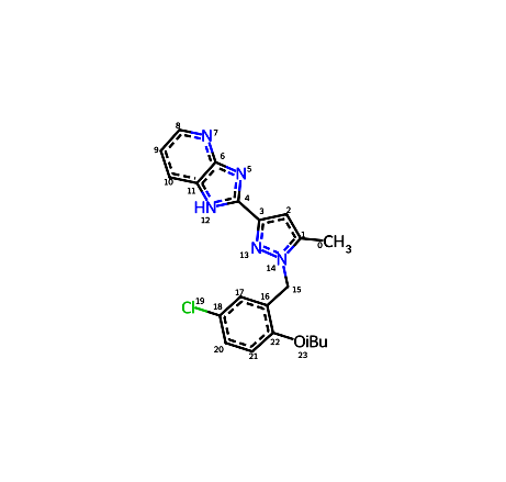 Cc1cc(-c2nc3ncccc3[nH]2)nn1Cc1cc(Cl)ccc1OCC(C)C